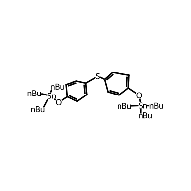 CCC[CH2][Sn]([CH2]CCC)([CH2]CCC)[O]c1ccc(Sc2ccc([O][Sn]([CH2]CCC)([CH2]CCC)[CH2]CCC)cc2)cc1